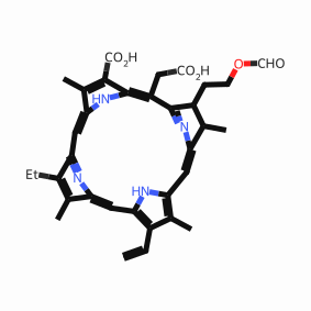 C=Cc1c(C)c2cc3nc(c(CC(=O)O)c4[nH]c(cc5nc(cc1[nH]2)C(C)=C5CC)c(C)c4C(=O)O)C(CCOC=O)C3C